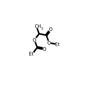 [CH2]CC(=O)OC(C)C(=O)OCC